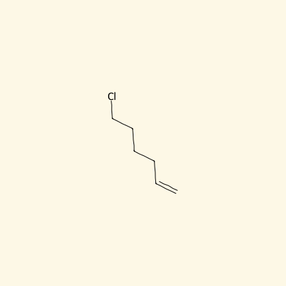 C=CCCCCCl